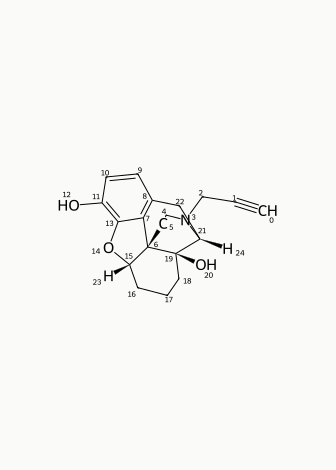 C#CCN1CC[C@]23c4c5ccc(O)c4O[C@H]2CCC[C@@]3(O)[C@H]1C5